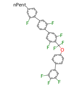 CCCCCc1ccc(-c2ccc(-c3cc(F)c(C(F)(F)Oc4ccc(-c5cc(F)c(F)c(F)c5)cc4)c(F)c3)c(F)c2)c(F)c1